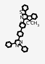 CC1(C)c2ccccc2-c2c1c(-c1ccc(-c3ccc(-c4cc(-c5ccccc5)nc(-c5ccccc5)n4)cc3)cc1)nc1sc3ccccc3c21